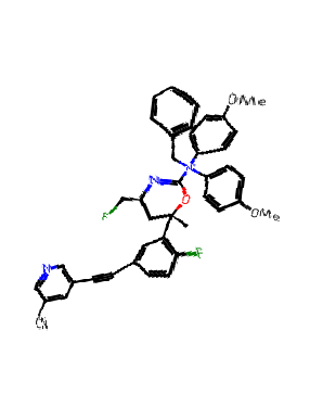 COc1ccc([N+](Cc2ccccc2)(C2=N[C@H](CF)C[C@@](C)(c3cc(C#Cc4cncc(C#N)c4)ccc3F)O2)c2ccc(OC)cc2)cc1